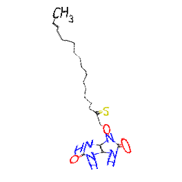 CCCCCCCCCCCCCCC(=S)CON1C(=O)NC2NC(=O)NC21